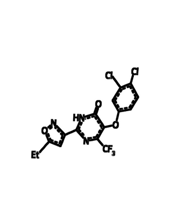 CCc1cc(-c2nc(C(F)(F)F)c(Oc3ccc(Cl)c(Cl)c3)c(=O)[nH]2)no1